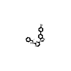 C[C@H](Nc1nccc(-n2cnc3cc(-c4ccc(Br)cc4)ccc32)n1)c1ccccc1